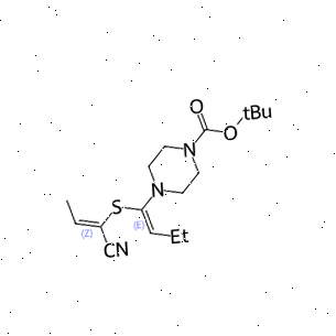 C/C=C(/C#N)S/C(=C/CC)N1CCN(C(=O)OC(C)(C)C)CC1